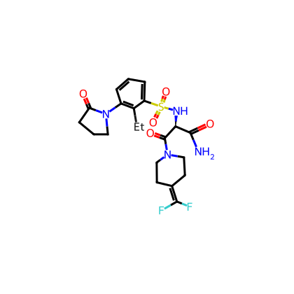 CCc1c(N2CCCC2=O)cccc1S(=O)(=O)N[C@@H](C(N)=O)C(=O)N1CCC(=C(F)F)CC1